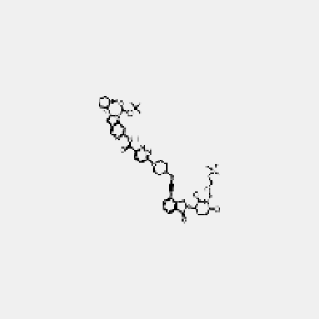 CN1CCC[C@@H]1c1cc2cnc(NC(=O)c3ccc(N4CCC(CC#Cc5cccc6c5CN(C5CCC(=O)N(COCC[Si](C)(C)C)C5=O)C6=O)CC4)nn3)cc2n1C(=O)OC(C)(C)C